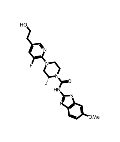 COc1ccc2nc(NC(=O)N3CCN(c4ncc(CCO)cc4F)C[C@H]3C)sc2c1